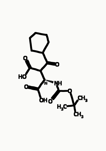 CC(C)(C)OC(=O)N[C@H](C(=O)O)C(C(=O)O)C(=O)C1CCCCC1